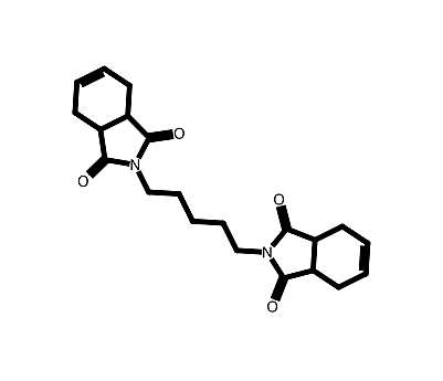 O=C1C2CC=CCC2C(=O)N1CCCCCN1C(=O)C2CC=CCC2C1=O